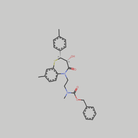 Cc1ccc([C@H]2Sc3cc(C)ccc3N(CCN(C)C(=O)OCc3ccccc3)C(=O)[C@H]2O)cc1